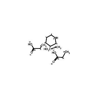 C1CCNCC1.CC(=O)O.CCC(=O)O.CCC(=O)O